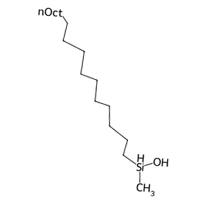 CCCCCCCCCCCCCCCCCC[SiH](C)O